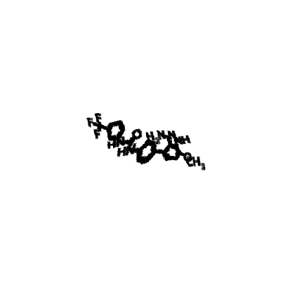 COc1ccc(-c2ccc(NC(=O)Nc3cccc(C(F)(F)F)c3)cc2)c2c(N)n[nH]c12